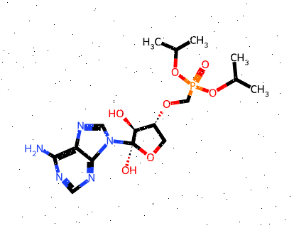 CC(C)OP(=O)(CO[C@@H]1CO[C@@](O)(n2cnc3c(N)ncnc32)[C@H]1O)OC(C)C